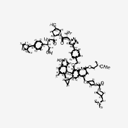 CO[C@@H](C)COc1cc(OC2CN(C(=O)N3CC(CN(C)C)C3)C2)c2cc(C3CC3)c(-c3c(C)c(F)cc4[nH]ncc34)c(OCc3ccc(-c4cn([C@H](C(=O)N5C[C@H](O)C[C@H]5C(=O)N[C@@H](CO)c5ccc(-c6ocnc6C)cc5)C(C)C)nn4)cc3)c2n1